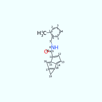 Cc1ccccc1CNC(=O)C1=CC=C2C1=CC1=C2C1